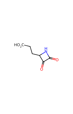 O=C(O)CCC1NC(=O)C1=O